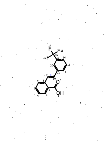 O=C(O)c1ccccc1/C=C/c1cccc(C(F)(F)F)c1